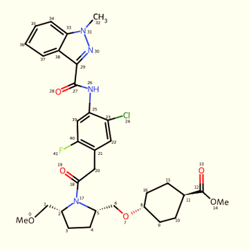 COC[C@H]1CC[C@@H](CO[C@H]2CC[C@H](C(=O)OC)CC2)N1C(=O)Cc1cc(Cl)c(NC(=O)c2nn(C)c3ccccc23)cc1F